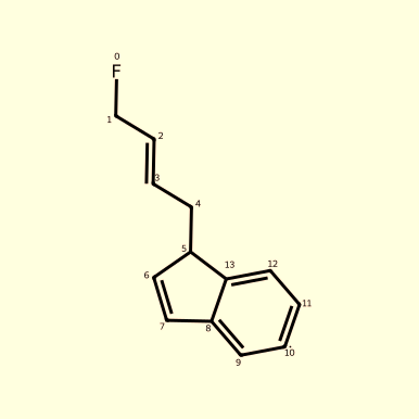 FC/C=C/CC1C=Cc2c[c]ccc21